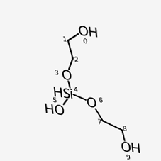 OCCO[SiH](O)OCCO